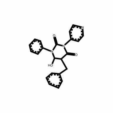 O=C1C(Cc2ccccc2)C(O)N(c2ccccc2)C(=O)N1c1ccncc1